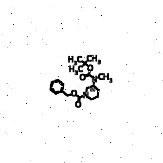 CN(C(=O)OC(C)(C)C)[C@H]1CCCN(C(=O)OCc2ccccc2)C1